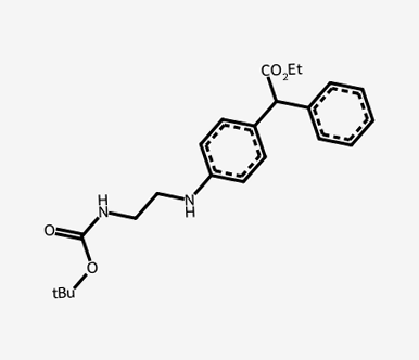 CCOC(=O)C(c1ccccc1)c1ccc(NCCNC(=O)OC(C)(C)C)cc1